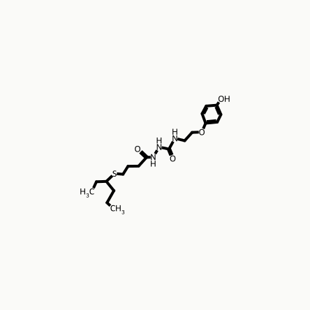 CCCC(CC)SCCCC(=O)NNC(=O)NCCOc1ccc(O)cc1